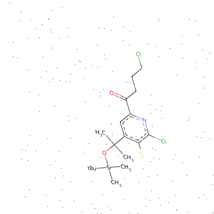 CC(C)(O[Si](C)(C)C(C)(C)C)c1cc(C(=O)CCCCl)nc(Cl)c1F